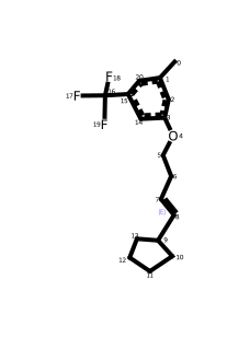 Cc1cc(OCC/C=C/C2CCCC2)cc(C(F)(F)F)c1